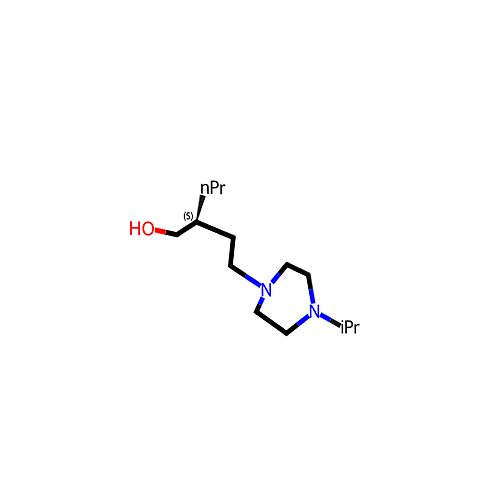 CCC[C@H](CO)CCN1CCN(C(C)C)CC1